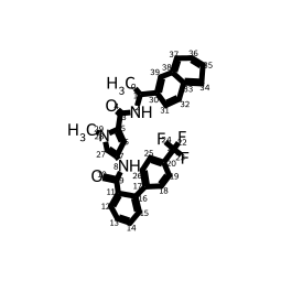 CC(NC(=O)c1cc(NC(=O)c2ccccc2-c2ccc(C(F)(F)F)cc2)cn1C)c1ccc2ccccc2c1